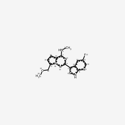 CNc1nc(-c2n[nH]c3ncc(F)cc23)nn2c(COC)ccc12